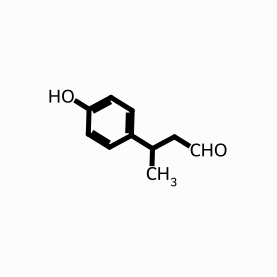 CC(CC=O)c1ccc(O)cc1